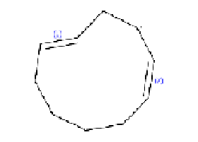 [CH]1/C=C\CCCC/C=C/C1